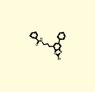 CCc1nc2cc(-c3ccccc3)cc(CCCNC(=O)c3ccccc3)c2o1